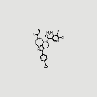 C=CC(=O)N1CCc2nn(-c3ccc(C4CC4)cc3)c3c2C(C1)N(C(=O)c1cnc(Cl)c(F)c1N)CC3